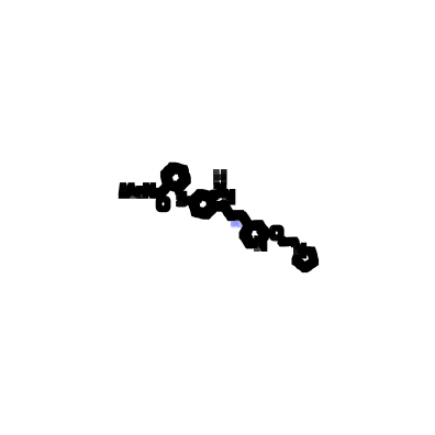 CNC(=O)c1ccccc1Sc1ccc2c(/C=C/c3ccnc(OCCN4CCCC4)c3)n[nH]c2c1